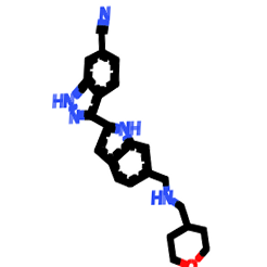 N#Cc1ccc2c(-c3cc4ccc(CNCC5CCOCC5)cc4[nH]3)n[nH]c2c1